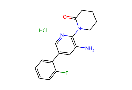 Cl.Nc1cc(-c2ccccc2F)cnc1N1CCCCC1=O